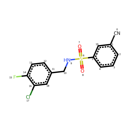 N#Cc1cccc(S(=O)(=O)NCc2ccc(F)c(Cl)c2)c1